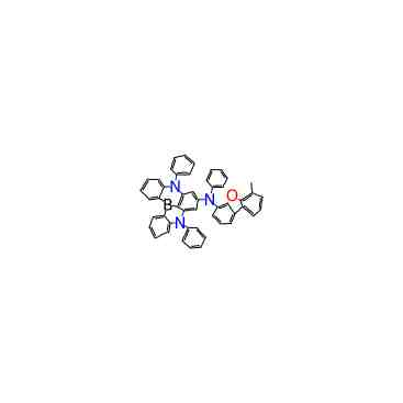 Cc1cccc2c1oc1c(N(c3ccccc3)c3cc4c5c(c3)N(c3ccccc3)c3ccccc3B5c3ccccc3N4c3ccccc3)cccc12